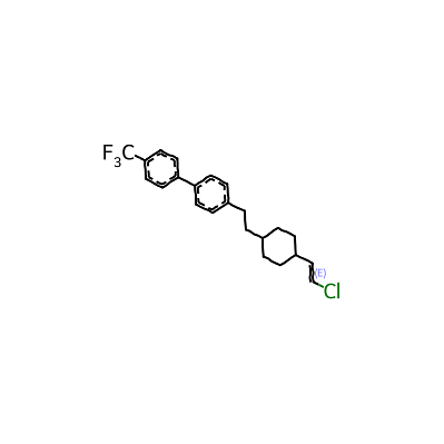 FC(F)(F)c1ccc(-c2ccc(CCC3CCC(/C=C/Cl)CC3)cc2)cc1